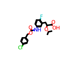 CC(C)OC(Cc1cc(NC(=O)OCc2ccc(Cl)cc2)ccc1F)C(=O)O